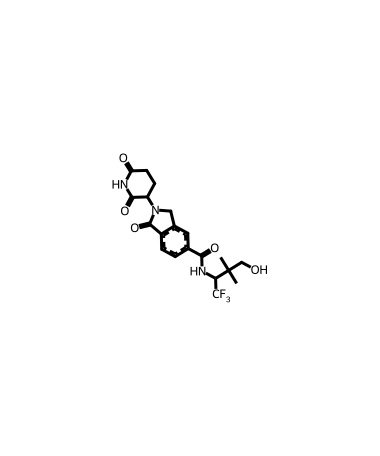 CC(C)(CO)C(NC(=O)c1ccc2c(c1)CN(C1CCC(=O)NC1=O)C2=O)C(F)(F)F